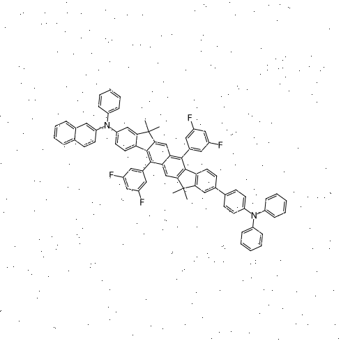 CC1(C)c2cc(-c3ccc(N(c4ccccc4)c4ccccc4)cc3)ccc2-c2c1cc1c(-c3cc(F)cc(F)c3)c3c(cc1c2-c1cc(F)cc(F)c1)C(C)(C)c1cc(N(c2ccccc2)c2ccc4ccccc4c2)ccc1-3